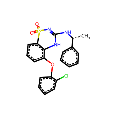 C[C@@H](NC1=NS(=O)(=O)c2cccc(Oc3ccccc3Cl)c2N1)c1ccccc1